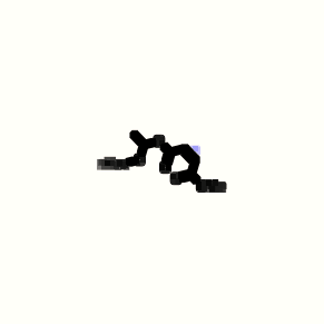 CCCCCCOC(C)OC(=O)/C=C\C(=O)OC